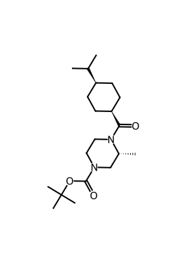 CC(C)[C@H]1CC[C@@H](C(=O)N2CCN(C(=O)OC(C)(C)C)C[C@H]2C)CC1